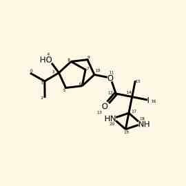 CC(C)C1(O)CC2CC1CC2OC(=O)C(C)(I)C12NC1N2